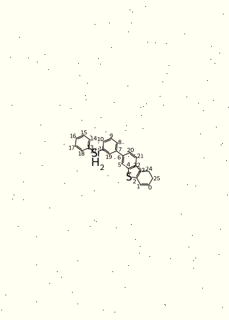 C1=Cc2sc3cc(-c4cccc([SiH2]c5ccccc5)c4)ccc3c2CC1